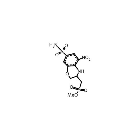 COS(=O)(=O)CC1COc2cc(S(N)(=O)=O)cc([N+](=O)[O-])c2N1